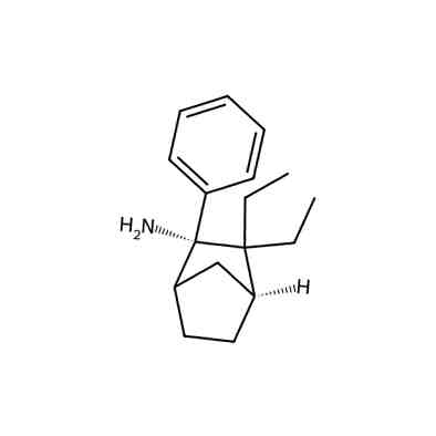 CCC1(CC)[C@H]2CCC(C2)[C@@]1(N)c1ccccc1